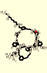 CCOC(=O)CCCCCC(=O)NCc1ccc2cc1Cn1cc(nn1)Cn1cc(c3cc(F)ccc31)C[C@@H]1NC(=O)[C@@H](NC(=O)OC(C)(C)C)Cc3cccc(c3)C/C=C/CO[C@H]3CCN(C1=O)[C@@H]3C(=O)N[C@@H]([C@@H](C)O)C(=O)N[C@@H](Cc1ccc(OC)cc1)C(=O)N1CCC[C@@]1(C)C(=O)NCC2